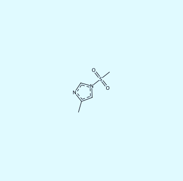 Cc1cn(S(C)(=O)=O)cn1